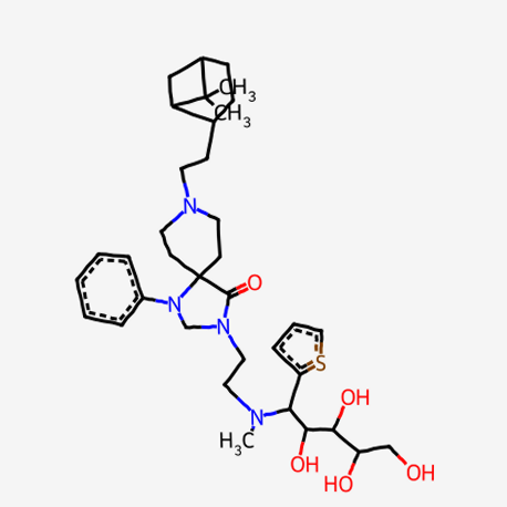 CN(CCN1CN(c2ccccc2)C2(CCN(CCC3CCC4CC3C4(C)C)CC2)C1=O)C(c1cccs1)C(O)C(O)C(O)CO